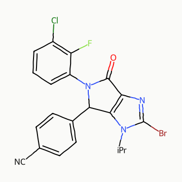 CC(C)n1c(Br)nc2c1C(c1ccc(C#N)cc1)N(c1cccc(Cl)c1F)C2=O